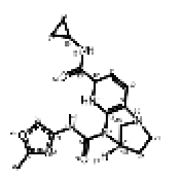 Cc1nc(NC(=O)N2C3=C(C=CC(C(=O)NC4CC4)N3)N3CC[C@H]2C3)co1